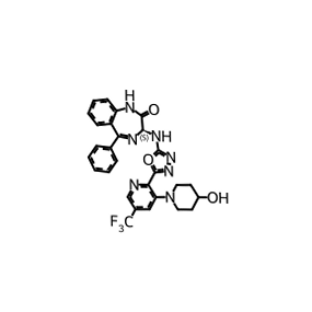 O=C1Nc2ccccc2C(c2ccccc2)=N[C@@H]1Nc1nnc(-c2ncc(C(F)(F)F)cc2N2CCC(O)CC2)o1